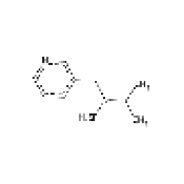 CC(C)N([SiH3])Cc1cccnc1